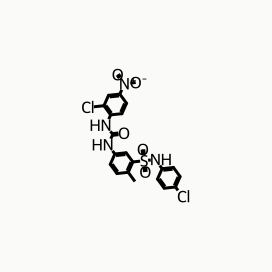 Cc1ccc(NC(=O)Nc2ccc([N+](=O)[O-])cc2Cl)cc1S(=O)(=O)Nc1ccc(Cl)cc1